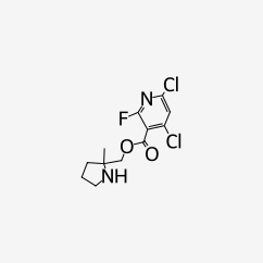 CC1(COC(=O)c2c(Cl)cc(Cl)nc2F)CCCN1